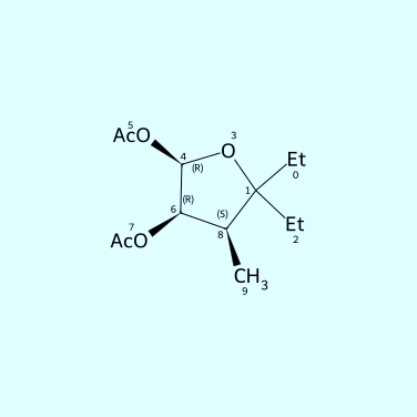 CCC1(CC)O[C@H](OC(C)=O)[C@H](OC(C)=O)[C@@H]1C